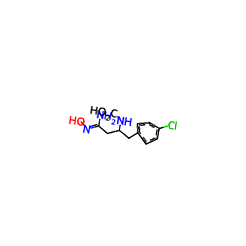 N/C(CC(Cc1ccc(Cl)cc1)NC(=O)O)=N\O